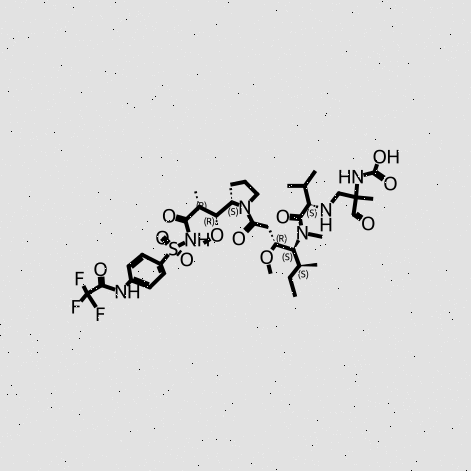 CC[C@H](C)[C@@H]([C@@H](CC(=O)N1CCC[C@H]1[C@H](OC)[C@@H](C)C(=O)NS(=O)(=O)c1ccc(NC(=O)C(F)(F)F)cc1)OC)N(C)C(=O)[C@@H](NCC(C)(C=O)NC(=O)O)C(C)C